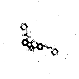 O=C(Nc1cccc2c1C(=O)c1c(-c3ccc(OCCN4CCOCC4)cc3Cl)n[nH]c1-2)NN1CCOCC1